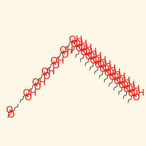 CCCCC(=O)O.CCCCC(=O)O.CCCCC(=O)O.CCCCC(=O)O.CCCCC(=O)O.CCCCC(=O)O.CCCCC(=O)O.CCCCC(=O)O.CCCCC(=O)O.CCCCC(=O)O.CCCCC(=O)O.CCCCC(=O)O.CCCCC(=O)O.CCCCC(=O)O.CCCCC(=O)O.CCCCC(=O)O.CCCCC(=O)O.CCCCC(=O)O.CCCCC(=O)O.CCCCC(=O)OCC